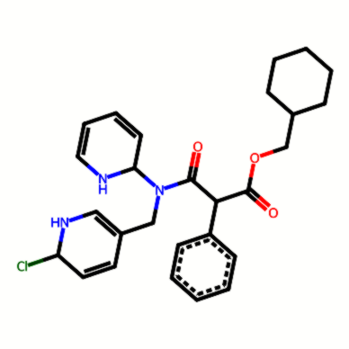 O=C(OCC1CCCCC1)C(C(=O)N(CC1=CNC(Cl)C=C1)C1C=CC=CN1)c1ccccc1